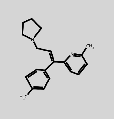 Cc1ccc(/C(=C\CN2CCCC2)c2cccc(C)n2)cc1